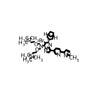 Cn1ccc(-c2ccc(-c3cnn4c(N(COCC[Si](C)(C)C)COCC[Si](C)(C)C)c(Br)c([C@H]5C[C@@H]6CC[C@@H](C6)C5)nc34)cn2)n1